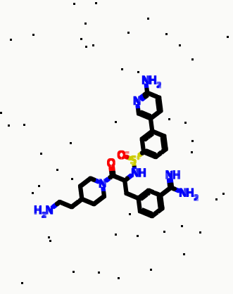 N=C(N)c1cccc(CC(N[S+]([O-])c2cccc(-c3ccc(N)nc3)c2)C(=O)N2CCC(CCN)CC2)c1